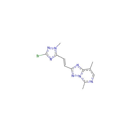 Cc1cnc(C)n2nc(C=Cc3nc(Br)nn3C)nc12